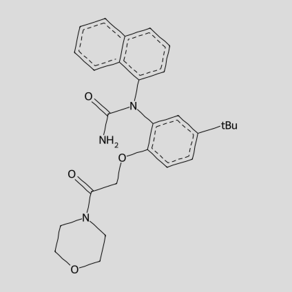 CC(C)(C)c1ccc(OCC(=O)N2CCOCC2)c(N(C(N)=O)c2cccc3ccccc23)c1